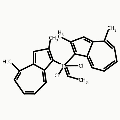 C[CH]=[Ti]([Cl])([Cl])([c]1c(C)cc2c(C)ccccc1-2)[c]1c(C)cc2c(C)ccccc1-2